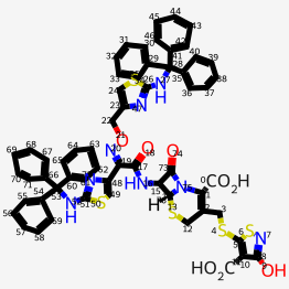 O=C(O)C1=C(CSc2snc(O)c2C(=O)O)CS[C@@H]2C(NC(=O)/C(=N\OCc3csc(NC(c4ccccc4)(c4ccccc4)c4ccccc4)n3)c3csc(NC(c4ccccc4)(c4ccccc4)c4ccccc4)n3)C(=O)N12